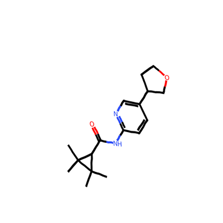 CC1(C)C(C(=O)Nc2ccc(C3CCOC3)cn2)C1(C)C